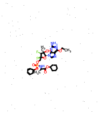 CCOc1nc(N)nc2c1ncn2[C@@H]1OC(F)(COP(=O)(NC(C)C(=O)OC2CCCCC2)Oc2ccccc2)[C@@H](F)[C@@]1(C)O